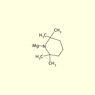 CC1(C)CCCC(C)(C)[N]1[Mg]